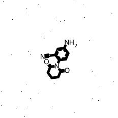 N#Cc1cc(N)ccc1N1C(=O)CCCC1=O